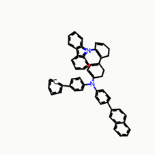 C1=CC(n2c3ccccc3c3ccccc32)=C(C2=CC=C(N(c3ccc(-c4ccccc4)cc3)c3ccc(-c4ccc5ccccc5c4)cc3)CC2)CC1